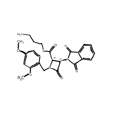 CCCCOC(=O)[C@H]1[C@@H](N2C(=O)c3ccccc3C2=O)C(=O)N1Cc1ccc(OC)cc1OC